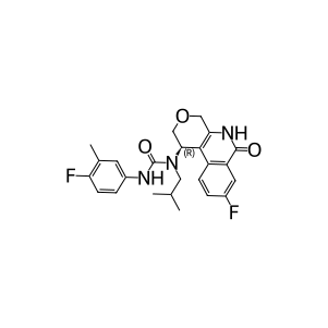 Cc1cc(NC(=O)N(CC(C)C)[C@H]2COCc3[nH]c(=O)c4cc(F)ccc4c32)ccc1F